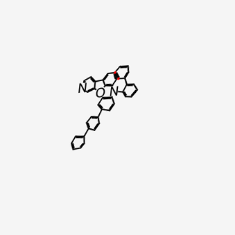 c1ccc(-c2ccc(-c3ccc(N(c4ccccc4-c4ccccc4)c4cccc5c4oc4cnccc45)cc3)cc2)cc1